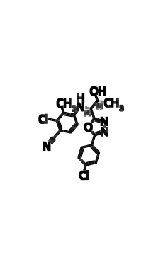 Cc1c(N[C@@H](c2nnc(-c3ccc(Cl)cc3)o2)[C@@H](C)O)ccc(C#N)c1Cl